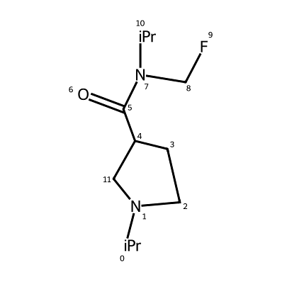 CC(C)N1CCC(C(=O)N(CF)C(C)C)C1